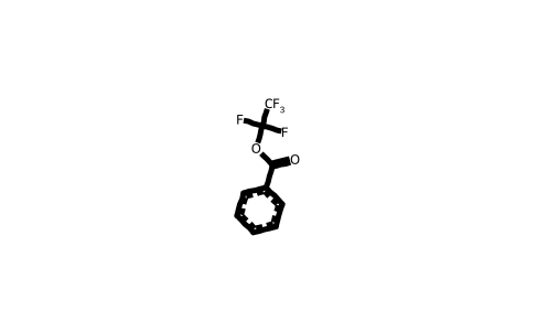 O=C(OC(F)(F)C(F)(F)F)c1ccccc1